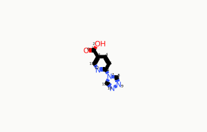 O=C(O)c1ccc(-n2cnnc2)nc1